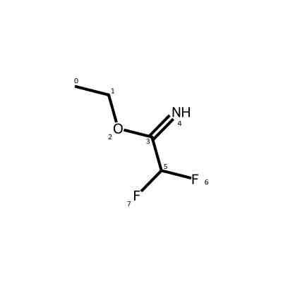 CCOC(=N)C(F)F